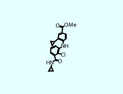 COC(=O)c1ccc(Nc2cccc(C(=O)NC3CC3)c2Cl)c(C2CC2)c1